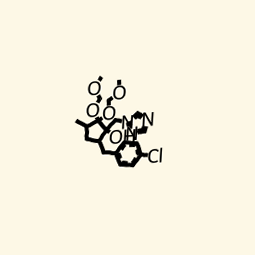 COCOC1(OCOC)C(C)CC(Cc2ccc(Cl)cc2)C1(O)Cn1cncn1